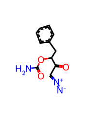 [N-]=[N+]=CC(=O)C(Cc1ccccc1)OC(N)=O